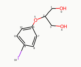 OCC(CO)Oc1ccc(I)cc1